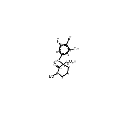 CCN1CCC[C@](Oc2cc(F)c(F)c(F)c2)(C(=O)O)C1=O